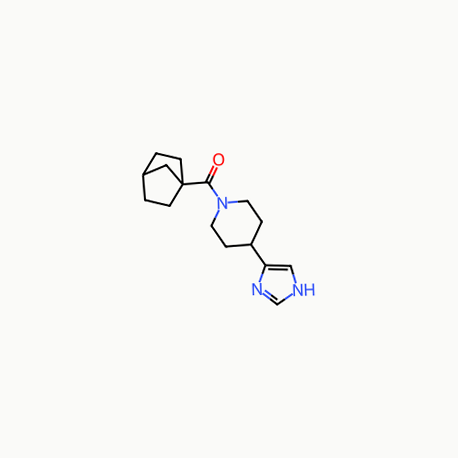 O=C(N1CCC(c2c[nH]cn2)CC1)C12CCC(CC1)C2